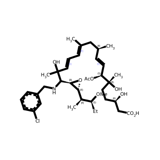 CC[C@H](OC)[C@@H](C)[C@H]1O[C@@H]1C(NCc1cccc(Cl)c1)C(C)(O)/C=C/C=C(\C)C[C@@H](C)/C=C/[C@H](OC(C)=O)[C@](C)(O)CC[C@@H](O)CC(=O)O